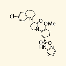 COc1ccc(S(=O)(=O)Nc2nccs2)cc1N1CC[C@H](N2CCCc3cc(Cl)ccc32)C1=O